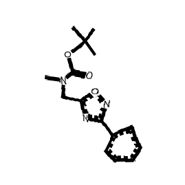 CN(Cc1nc(-c2cc[c]cc2)no1)C(=O)OC(C)(C)C